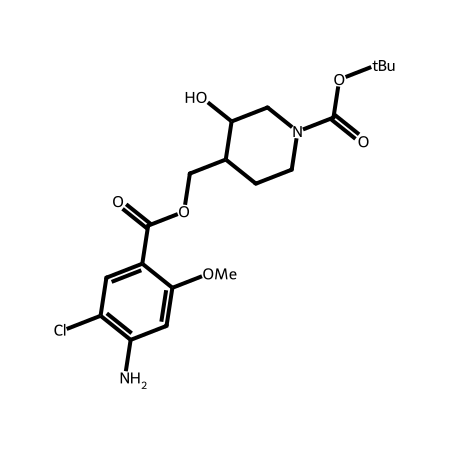 COc1cc(N)c(Cl)cc1C(=O)OCC1CCN(C(=O)OC(C)(C)C)CC1O